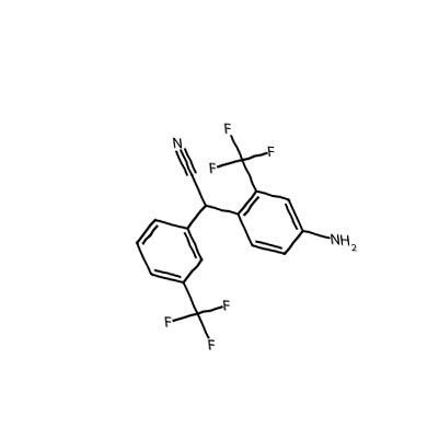 N#CC(c1cccc(C(F)(F)F)c1)c1ccc(N)cc1C(F)(F)F